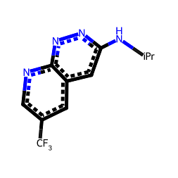 CC(C)Nc1cc2cc(C(F)(F)F)cnc2nn1